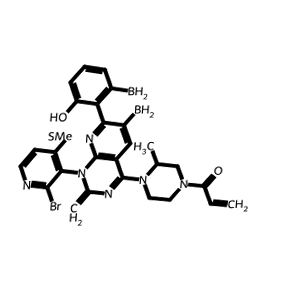 Bc1cc2c(nc1-c1c(B)cccc1O)N(c1c(SC)ccnc1Br)C(=C)N=C2N1CCN(C(=O)C=C)CC1C